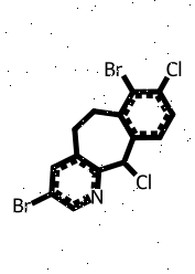 Clc1ccc2c(c1Br)CCc1cc(Br)cnc1C2Cl